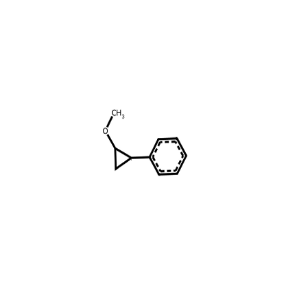 COC1C[C]1c1ccccc1